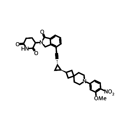 COc1cc(N2CCC3(CC2)CC([C@H]2C[C@@H]2C#Cc2cccc4c2CN(C2CCC(=O)NC2=O)C4=O)C3)ccc1[N+](=O)[O-]